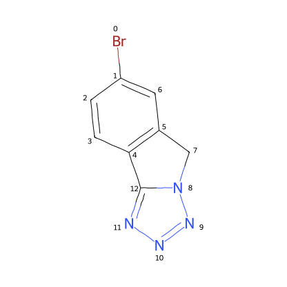 Brc1ccc2c(c1)Cn1nnnc1-2